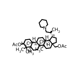 C=C(CN1CCCCC1)[C@@H]1CC[C@]2(COC(C)=O)CC[C@]3(C)[C@H](CC[C@@H]4[C@@]5(C)CCC(OC(C)=O)C(C)(C)[C@@H]5CC[C@]43C)[C@@H]12